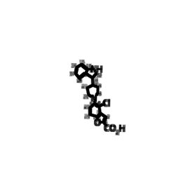 O=C(O)c1cc2c(Cl)c(N3CCC(C4CNc5ccccc54)CC3)ccc2o1